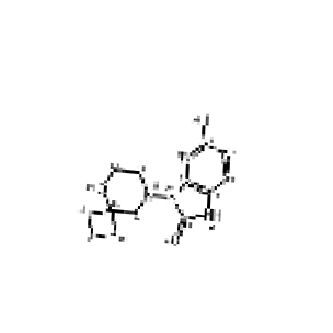 O=c1[nH]c2cnc(Cl)nc2n1N1CCOC2(CCC2)C1